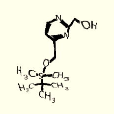 CC(C)(C)[Si](C)(C)OCc1ccnc(CO)n1